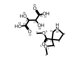 COCC1(C(=O)OC)CCNC1.O=C(O)C(O)C(O)C(=O)O